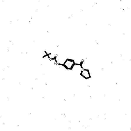 CC(C)(C)OC(=O)Nc1ccc(C(=O)N2CCCC2)cc1